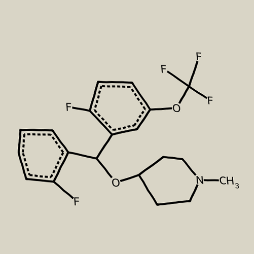 CN1CCC(OC(c2ccccc2F)c2cc(OC(F)(F)F)ccc2F)CC1